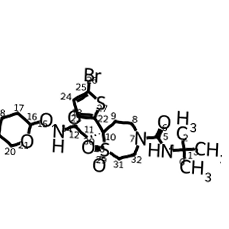 CC(C)(C)NC(=O)N1CC[C@](CC(=O)NOC2CCCCO2)(c2ccc(Br)s2)S(=O)(=O)CC1